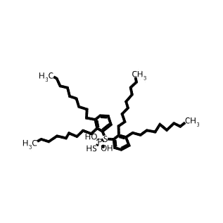 CCCCCCCCCc1cccc(S(c2cccc(CCCCCCCCC)c2CCCCCCCCC)=P(O)(O)S)c1CCCCCCCCC